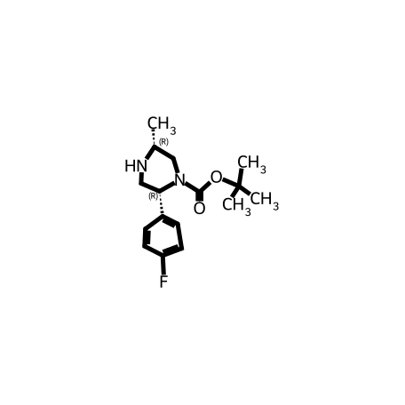 C[C@@H]1CN(C(=O)OC(C)(C)C)[C@H](c2ccc(F)cc2)CN1